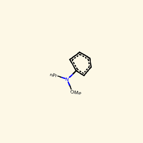 CCCN(OC)c1ccccc1